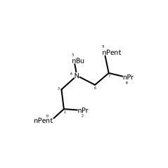 CCCCCC(CCC)CN(CCCC)CC(CCC)CCCCC